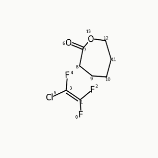 FC(F)=C(F)Cl.O=C1CCCCCO1